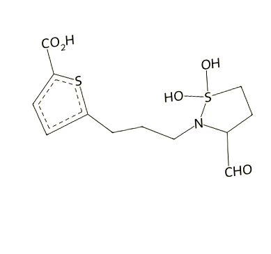 O=CC1CCS(O)(O)N1CCCc1ccc(C(=O)O)s1